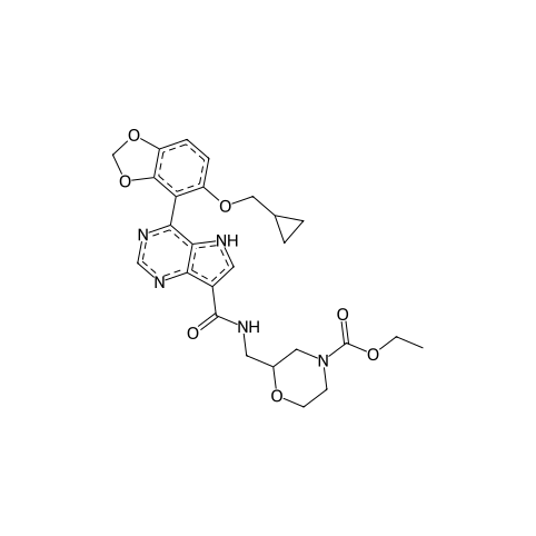 CCOC(=O)N1CCOC(CNC(=O)c2c[nH]c3c(-c4c(OCC5CC5)ccc5c4OCO5)ncnc23)C1